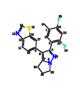 Cc1cc(-c2nn3c(c2-c2ccc4ncsc4c2)CCC3)c(F)cc1F